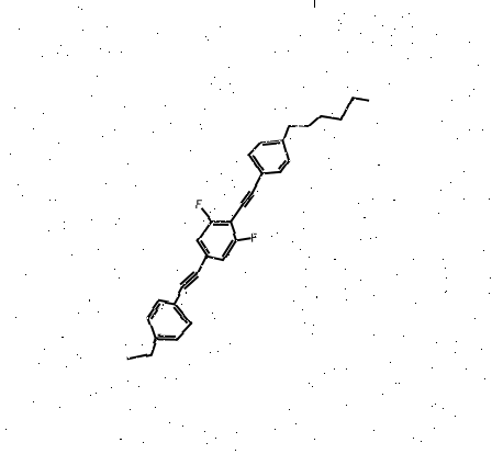 CCCCCCc1ccc(C#Cc2c(F)cc(C#Cc3ccc(CC)cc3)cc2F)cc1